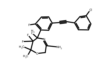 CC1(C)OCC(N)=NC(C)(c2cc(C#Cc3cccc(Cl)c3)ccc2F)C1(F)F